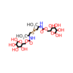 O=C(NC(CSSCC(NC(=O)OCC1OC(O)C(O)C(O)C1O)C(=O)O)C(=O)O)OCC1OC(O)C(O)C(O)C1O